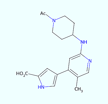 CC(=O)N1CCC(Nc2cc(-c3c[nH]c(C(=O)O)c3)c(C)cn2)CC1